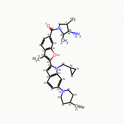 CCC1CN(C(=O)c2ccc3c(C)c(-c4cc5ccc(N6CCC(OC)CC6)cc5n4CC4CC4)oc3c2)C(C)[C@@H]1N